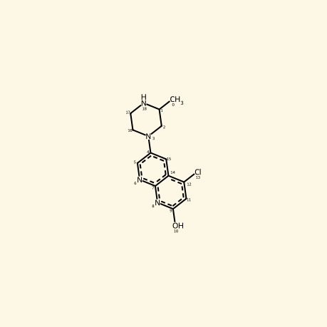 CC1CN(c2cnc3nc(O)cc(Cl)c3c2)CCN1